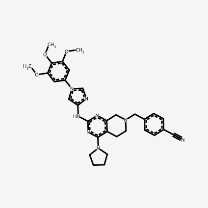 COc1cc(-n2cnc(Nc3nc4c(c(N5CCCC5)n3)CCN(Cc3ccc(C#N)cc3)C4)c2)cc(OC)c1OC